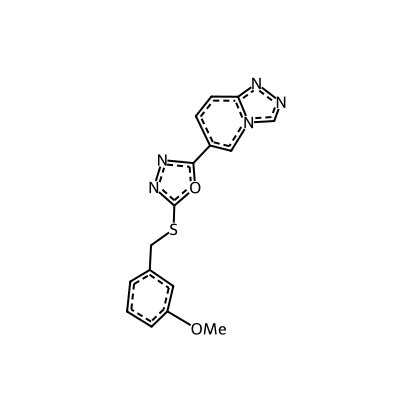 COc1cccc(CSc2nnc(-c3ccc4nncn4c3)o2)c1